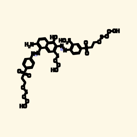 Nc1ccc2c(O)c(/N=N/c3ccc(S(=O)(=O)CCOSOOO)cc3S(=O)(=O)O)c(SOOO)cc2c1/N=N/c1ccc(S(=O)(=O)CCOSOOO)cc1